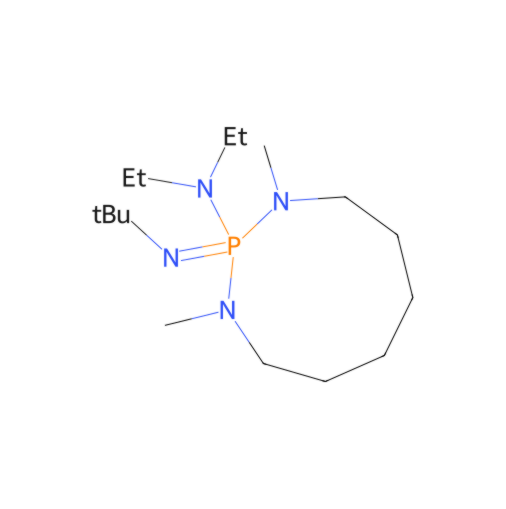 CCN(CC)P1(=NC(C)(C)C)N(C)CCCCCCN1C